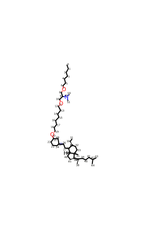 CCCCCCCOCC(COCCCCCCCCOC1CCC/C(=C\CC2[C@@H](CC)CCC3(C)[C@@H]([C@H](C)CCCC(C)C)CC[C@@H]23)C1)N(C)C